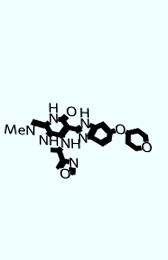 CN/C=C1/NC(=O)C(c2nc3ccc(OC4CCOCC4)cc3[nH]2)=C(NC(C)c2cocn2)C1=N